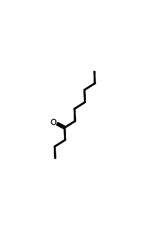 CCCCCCC(=O)CCC